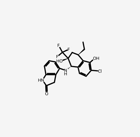 CC[C@@H]1C[C@@](O)(C(F)(F)F)[C@@H](Nc2cccc3c2CC(=O)N3)c2ccc(Cl)c(O)c21